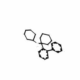 c1ccc(-c2ccccc2C2(PC3CCCCC3)CCCCC2)cc1